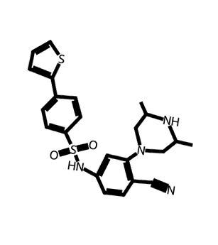 CC1CN(c2cc(NS(=O)(=O)c3ccc(-c4cccs4)cc3)ccc2C#N)CC(C)N1